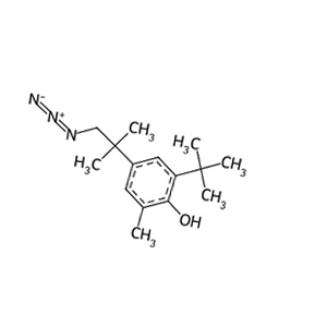 Cc1cc(C(C)(C)CN=[N+]=[N-])cc(C(C)(C)C)c1O